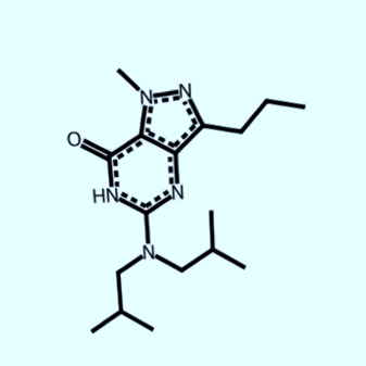 CCCc1nn(C)c2c(=O)[nH]c(N(CC(C)C)CC(C)C)nc12